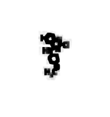 CO[C@H]1CC[C@@H](Nc2nc(Cl)nc3ccc(I)cc23)CC1